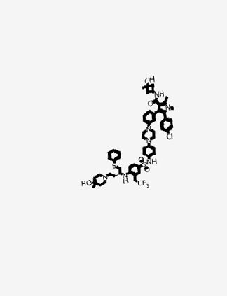 Cc1c(C(=O)NC2CC(C)(O)C2)c(-c2cccc(N3CCN(c4ccc(NS(=O)(=O)c5ccc(N[C@H](CCN6CCC(C)(O)CC6)CSc6ccccc6)c(CC(F)(F)F)c5)cc4)CC3)c2)c(-c2ccc(Cl)cc2)n1C